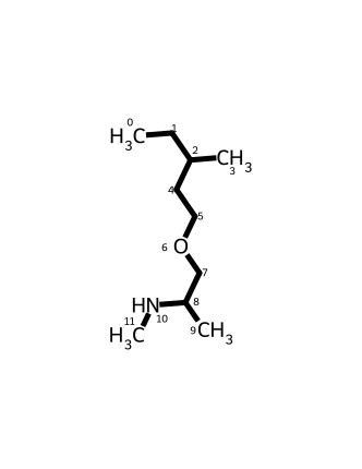 CCC(C)CCOCC(C)NC